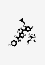 CC(C)(C)OC=O.O=C(NC1CCNCC1)c1c[nH]c2c(-c3ccc(F)cc3OCC3CC3)ncnc12